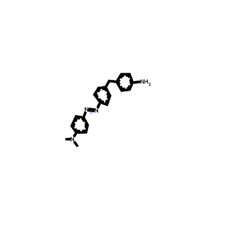 CN(C)c1ccc(/N=N/c2ccc(Cc3ccc(N)cc3)cc2)cc1